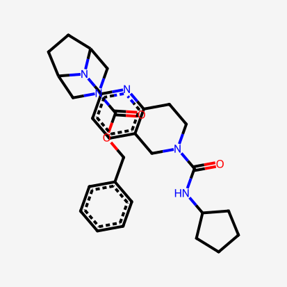 O=C(NC1CCCC1)N1CCc2nc(N3C4CCC3CN(C(=O)OCc3ccccc3)C4)ccc2C1